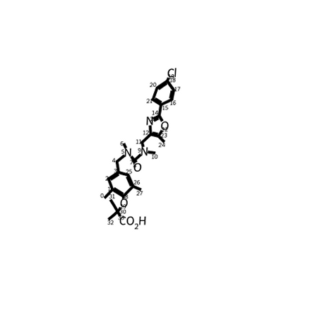 Cc1cc(CN(C)C(=O)N(C)Cc2nc(-c3ccc(Cl)cc3)oc2C)cc(C)c1OC(C)(C)C(=O)O